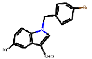 N#Cc1ccc2c(c1)c(C=O)cn2Cc1ccc(Br)cc1